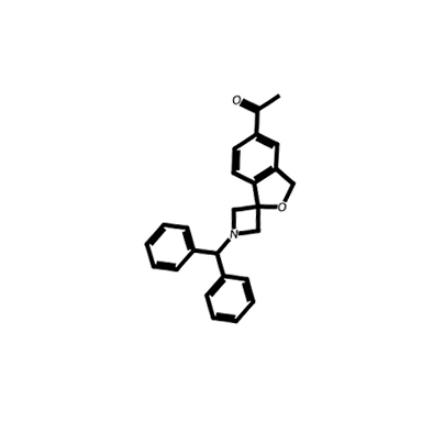 CC(=O)c1ccc2c(c1)COC21CN(C(c2ccccc2)c2ccccc2)C1